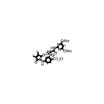 CCOC(=O)c1ccc(NN2C(=O)C(C)=C(C)C2=O)cc1S(=O)(=O)NC(=O)Nc1nc(OC)cc(OC)n1